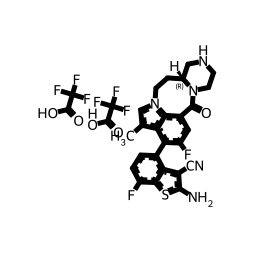 Cc1cn2c3c(cc(F)c(-c4ccc(F)c5sc(N)c(C#N)c45)c13)C(=O)N1CCNC[C@H]1CC2.O=C(O)C(F)(F)F.O=C(O)C(F)(F)F